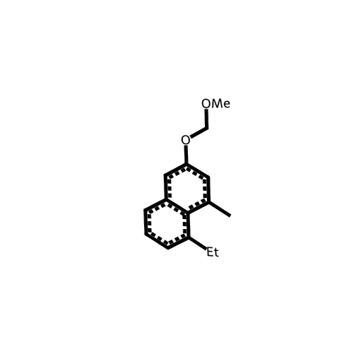 CCc1cccc2cc(OCOC)cc(C)c12